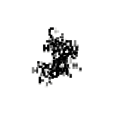 C=CCOC(=O)N[C@H]1CS[C@H]2[C@H]3[C@H]4c5c(cc(C)c(OC)c5OCC=O)C[C@@H]([C@H](C)N3[C@H]3c5c6c(c(C)c(OC(C)=O)c5C32OC1=O)OCO6)N4C